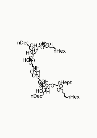 CCCCCC/C=C\CCCC(=O)O[C@H](CCCCCCC)CCOCC(COP(=O)(O)OCCNC(=O)CC(=O)NCCOP(=O)(O)OCC(COCC[C@@H](CCCCCCC)OC(=O)CCC/C=C\CCCCCC)NC(=O)C[C@H](O)CCCCCCCCCCC)NC(=O)C[C@H](O)CCCCCCCCCCC